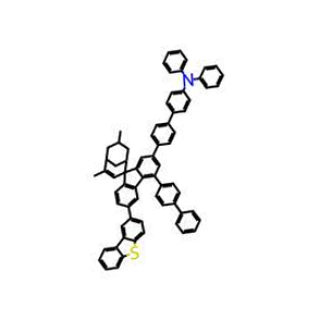 CC1=CC2(c3ccc(-c4ccc5sc6ccccc6c5c4)cc3-c3c(-c4ccc(-c5ccccc5)cc4)cc(-c4ccc(-c5ccc(N(c6ccccc6)c6ccccc6)cc5)cc4)cc32)C2CC(C)CC1C2